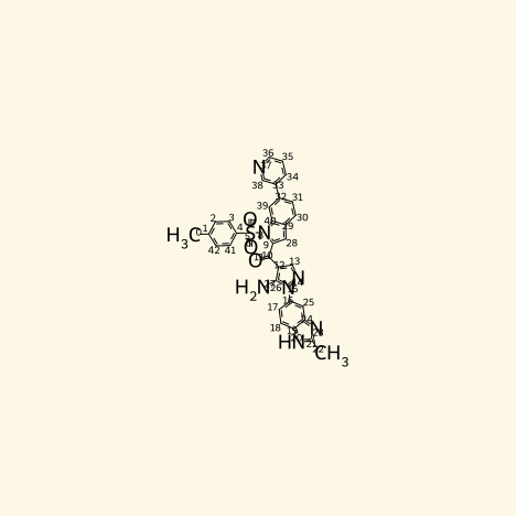 Cc1ccc(S(=O)(=O)n2c(C(=O)c3cnn(-c4ccc5[nH]c(C)nc5c4)c3N)cc3ccc(-c4cccnc4)cc32)cc1